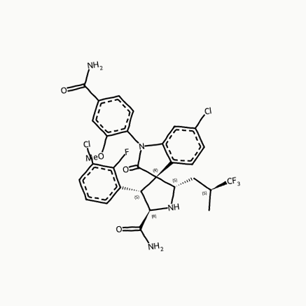 COc1cc(C(N)=O)ccc1N1C(=O)[C@]2(c3ccc(Cl)cc31)[C@H](C[C@H](C)C(F)(F)F)N[C@@H](C(N)=O)[C@@H]2c1cccc(Cl)c1F